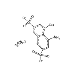 Nc1cc(S(=O)(=O)[O-])cc2cc(S(=O)(=O)[O-])cc(O)c12.O.[Na+].[Na+]